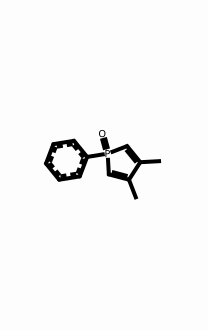 CC1=CP(=O)(c2ccccc2)C=C1C